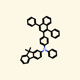 CC1(C)c2ccccc2-c2ccc(N(c3ccccc3)c3ccc(-c4cc(-c5ccccc5)c5ccccc5c4-c4ccccc4)cc3)cc21